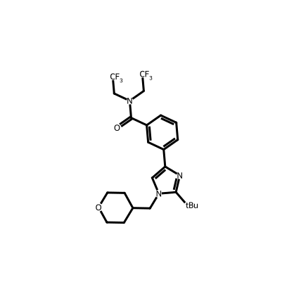 CC(C)(C)c1nc(-c2cccc(C(=O)N(CC(F)(F)F)CC(F)(F)F)c2)cn1CC1CCOCC1